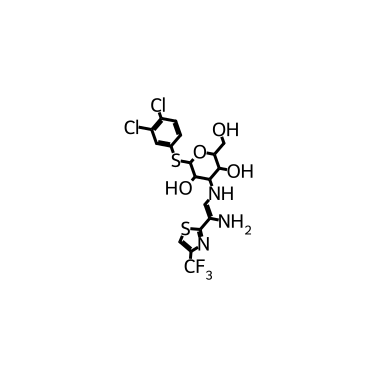 N/C(=C\NC1C(O)C(CO)OC(Sc2ccc(Cl)c(Cl)c2)C1O)c1nc(C(F)(F)F)cs1